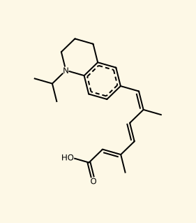 CC(C=CC(C)=Cc1ccc2c(c1)CCCN2C(C)C)=CC(=O)O